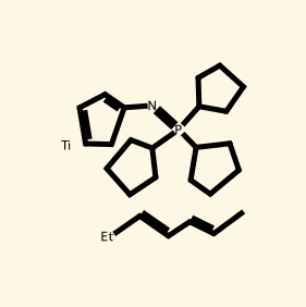 C1=CCC(N=P(C2CCCC2)(C2CCCC2)C2CCCC2)=C1.CC=CC=CCC.[Ti]